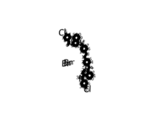 CN(c1ccc(Cl)cc1)c1cc[n+](Cc2ccc(CCc3ccc(C[n+]4ccc(N(C)c5ccc(Cl)cc5)c5ccccc54)cc3)cc2)c2ccccc12.[Br-].[Br-]